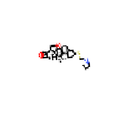 C[C@]12CCC(SCCN3CCCC3)CC1CC[C@@H]1[C@H]2CC[C@]2(C)C(c3ccoc3)CC3O[C@]312